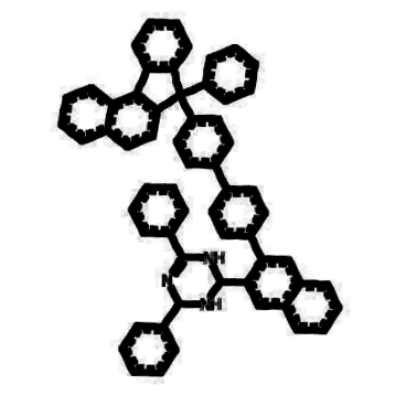 c1ccc(C2=NC(c3ccccc3)NC(c3cc4ccccc4cc3-c3ccc(-c4ccc(C5(c6ccccc6)c6ccccc6-c6c5ccc5ccccc65)cc4)cc3)N2)cc1